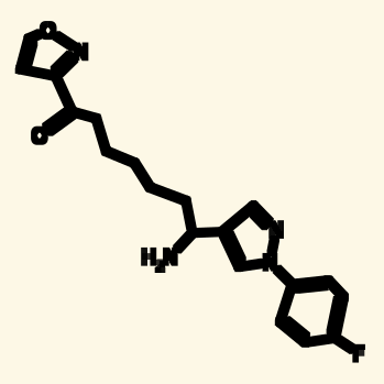 NC(CCCCCC(=O)c1ccon1)c1cnn(-c2ccc(F)cc2)c1